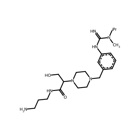 CC(C)N(C)C(=N)Nc1cccc(CN2CCN(C(CO)C(=O)NCCCN)CC2)c1